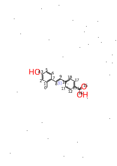 Cc1cc(O)ccc1/C=C/c1ccc(C(=O)O)cc1